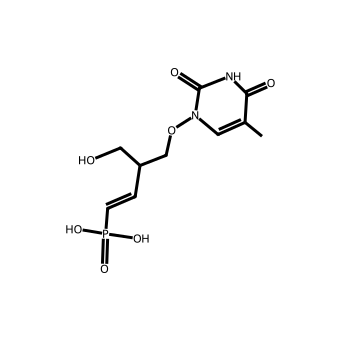 Cc1cn(OCC(C=CP(=O)(O)O)CO)c(=O)[nH]c1=O